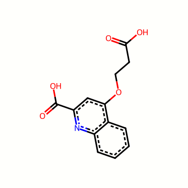 O=C(O)CCOc1cc(C(=O)O)nc2ccccc12